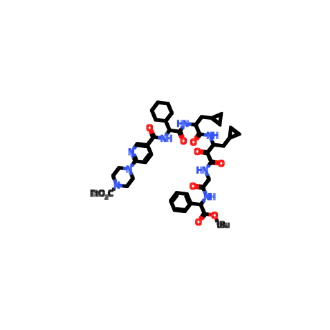 CCOC(=O)N1CCN(c2ccc(C(=O)NC(C(=O)NC(CC3CC3)C(=O)NC(CC3CC3)C(=O)C(=O)NCC(=O)NC(C(=O)OC(C)(C)C)c3ccccc3)C3CCCCC3)cn2)CC1